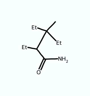 CCC(C(N)=O)C(C)(CC)CC